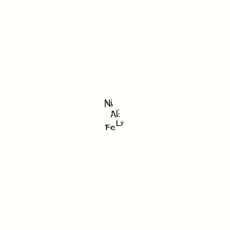 [Al].[Fe].[Li].[Ni]